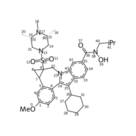 COc1ccc2c(c1)C1CC1(S(=O)(=O)N1C[C@@H](C)N(C)[C@@H](C)C1)Cn1c-2c(C2CCCCC2)c2ccc(C(=O)N(O)CC(C)C)cc21